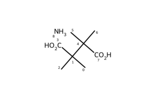 CC(C)(C(=O)O)C(C)(C)C(=O)O.N